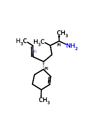 C/C=C/C(CC(C)[C@@H](C)N)[C@@H]1C=CC(C)CC1